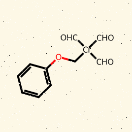 O=[CH][Cr]([CH]=O)([CH]=O)[CH2]Oc1ccccc1